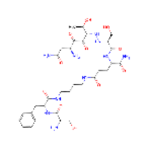 C[C@@H](O)[C@H](NN[C@@H](CO)C(=O)NC(CCC(=O)NCCCCNC(=O)C(Cc1ccccc1)NC(=O)C(N)CO)C(N)=O)C(=O)C(=O)[C@@H](N)CC(N)=O